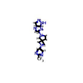 FC(F)(F)c1ncc(N2CC3(CCN(c4cnc5cn[nH]c5n4)C3)C2)cn1